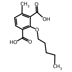 CCCCCOc1c(C(=O)O)ccc(C)c1C(=O)O